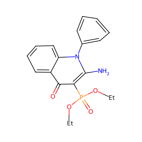 CCOP(=O)(OCC)c1c(N)n(-c2ccccc2)c2ccccc2c1=O